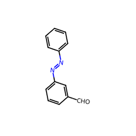 O=Cc1cccc(N=Nc2ccccc2)c1